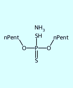 CCCCCOP(=S)(S)OCCCCC.N